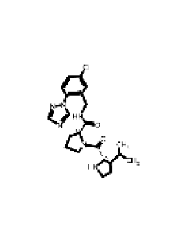 CC(C)C1CCN[C@@H]1C(=O)N1CCC[C@H]1C(=O)NCc1cc(Cl)ccc1-n1cncn1